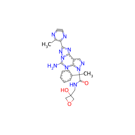 Cc1nc#cnc1-c1nc2c3cnn(C(C)(C(=O)NCC4(O)COC4)c4ccccc4)c3nc(N)n2n1